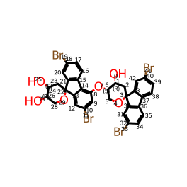 O[C@@H]1CC2(OC[C@@H]1Oc1cc(Br)cc3c1-c1ccc(Br)cc1C31C[C@H](O)[C@H](O)CO1)c1cc(Br)ccc1-c1ccc(Br)cc12